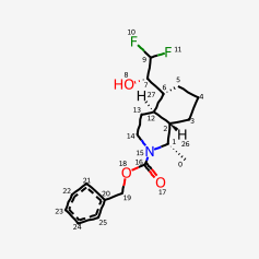 C[C@H]1[C@H]2CCC[C@@H]([C@H](O)C(F)F)[C@@H]2CCN1C(=O)OCc1ccccc1